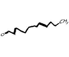 CCCC=CCCCCCC=O